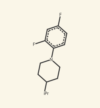 CC(C)C1CCN(c2ccc(F)cc2F)CC1